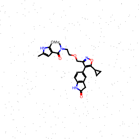 COc1[nH]c(C)cc1C(=O)N(C)CCOCc1noc(C2CC2)c1-c1ccc2c(c1)CC(=O)N2